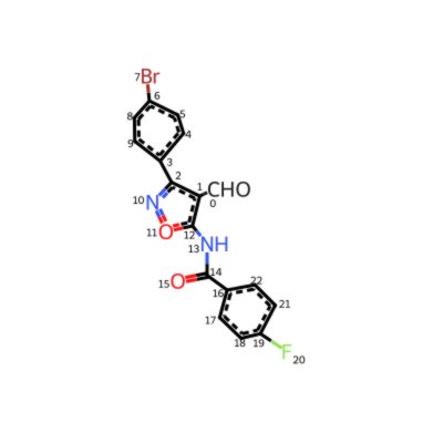 O=Cc1c(-c2ccc(Br)cc2)noc1NC(=O)c1ccc(F)cc1